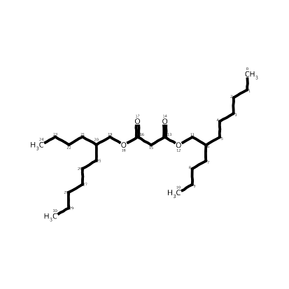 CCCCCCC(CCCC)COC(=O)CC(=O)OCC(CCCC)CCCCCC